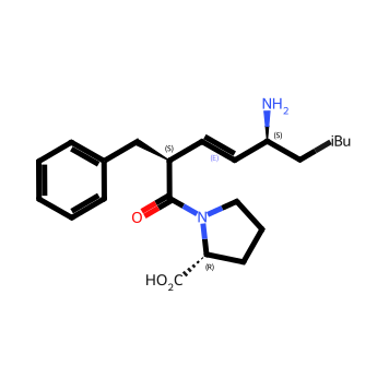 CCC(C)C[C@H](N)/C=C/[C@H](Cc1ccccc1)C(=O)N1CCC[C@@H]1C(=O)O